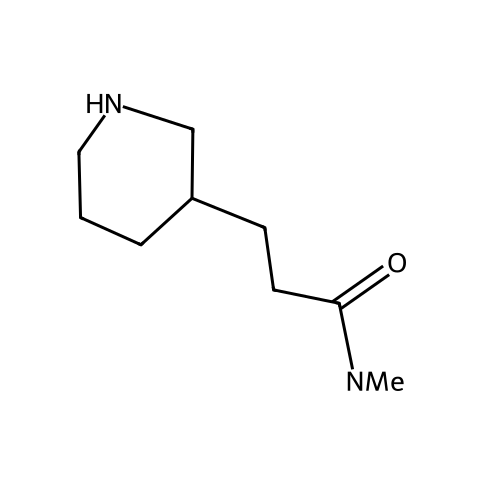 [CH2]NC(=O)CCC1CCCNC1